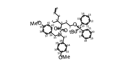 C=CCC(C)C(CCO[Si](c1ccccc1)(c1ccccc1)C(C)(C)C)S(=O)(=O)N(Cc1ccc(OC)cc1)Cc1ccc(OC)cc1